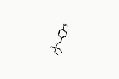 COP(=O)(OC)OCc1ccc(N)cc1